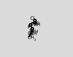 CCOC(=O)Nc1nc2cc(-c3cc(Cc4n[nH]c(=O)c5ccc(Cl)cc45)ccc3F)ccc2[nH]1